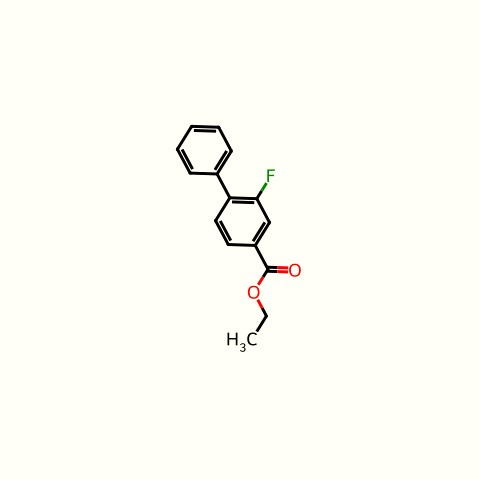 CCOC(=O)c1ccc(-c2ccccc2)c(F)c1